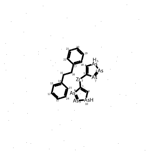 C1=[C]([Zr][C]2=C[AsH][As]=[As]2)[As]=[As][AsH]1.c1ccc(CCc2ccccc2)cc1